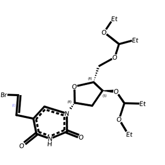 CCOC(CC)OC[C@H]1O[C@@H](n2cc(/C=C/Br)c(=O)[nH]c2=O)C[C@@H]1OC(CC)OCC